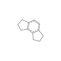 c1cc2c(c3c1CCC3)CCC2